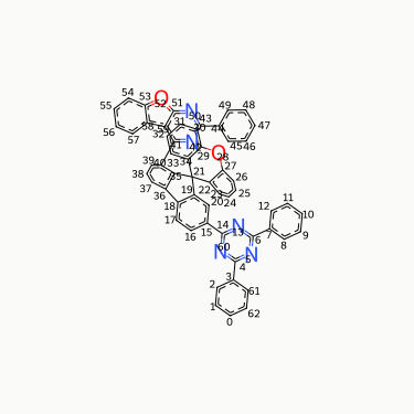 c1ccc(-c2nc(-c3ccccc3)nc(-c3ccc4c(c3)C3(c5ccccc5Oc5ccccc53)c3c-4cccc3-c3nc(-c4ccccc4)nc4oc5ccccc5c34)n2)cc1